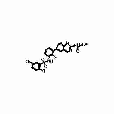 CC(C)(C)C(=O)Nc1ncc2cc(-c3cccc(NS(=O)(=O)c4cc(Cl)ccc4Cl)c3F)ccc2n1